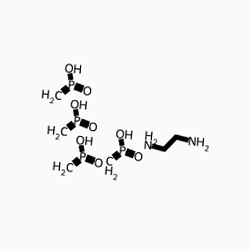 C=P(=O)O.C=P(=O)O.C=P(=O)O.C=P(=O)O.NCCN